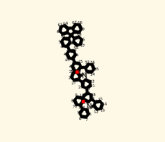 c1ccc(-c2ccccc2-n2c3ccccc3c3cc(-c4ccc5c(c4)c4ccccc4n5-c4ccccc4-c4cccc(-c5ccc(-c6cccc(C7(c8ccccc8)c8ccccc8-c8ccccc87)c6)cc5)c4)ccc32)cc1